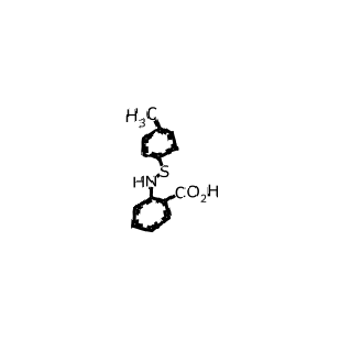 Cc1ccc(SNc2ccccc2C(=O)O)cc1